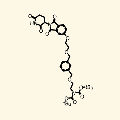 CC(C)(C)OC(=O)N(CCOCc1cccc(COCCOc2ccc3c(c2)C(=O)N(C2CCC(=O)NC2=O)C3=O)c1)C(=O)OC(C)(C)C